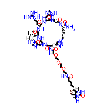 CC(C)[C@@H]1NC(=O)[C@H](Cc2c[nH]cn2)NC(=O)[C@@H](NC(=O)COCCOCCOCCNC(=O)CCCC[C@H]2SC[C@H]3NC(=O)N[C@H]32)Cc2cn(nn2)CCCC[C@@H](C(N)=O)NC(=O)CNC(=O)[C@H](Cc2c[nH]cn2)NC(=O)[C@H](CCCNC(=N)N)NC1=O